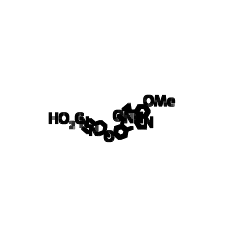 COc1cc(C2(NC(=O)c3cc(OC4CCC5CN(C(=O)O)CCN5C4)ccc3C)CC2)c2cccnc2c1